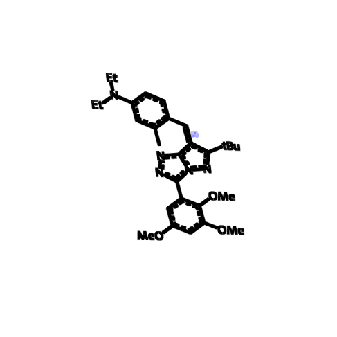 CCN(CC)c1ccc(/C=c2/c(C(C)(C)C)nn3c(-c4cc(OC)cc(OC)c4OC)nnc23)c(C)c1